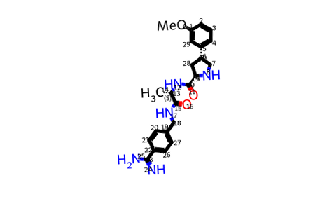 COc1cccc([C@@H]2CN[C@@H](C(=O)N[C@@H](C)C(=O)NCc3ccc(C(=N)N)cc3)C2)c1